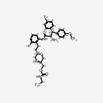 N[C@H](C(=O)Nc1cccc(F)c1CC[C@@H]1CN[C@H](COC(=O)NCC(F)(F)F)CO1)[C@@H](c1ccc(F)cc1)c1ccc(OC(F)(F)F)cc1